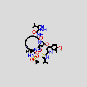 COc1ccc2c(O[C@@H]3C[C@H]4C(=O)N[C@]5(C(=O)NS(=O)(=O)C6CC6)C[C@H]5/C=C\CCCCC[C@H](NC(=O)c5[nH]ncc5C(C)C)C(=O)N4C3)cc(-c3nc(C(C)C)cs3)nc2c1C